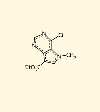 CCOC(=O)c1cn(C)c2c(Cl)ncnc12